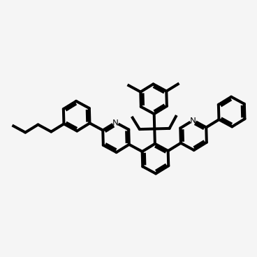 CCCCc1cccc(-c2ccc(-c3cccc(-c4ccc(-c5ccccc5)nc4)c3C(CC)(CC)c3cc(C)cc(C)c3)cn2)c1